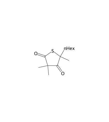 CCCCCCC1(C)SC(=O)C(C)(C)C1=O